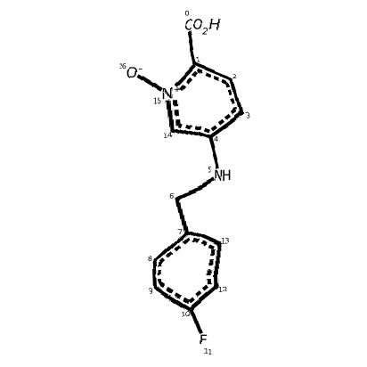 O=C(O)c1ccc(NCc2ccc(F)cc2)c[n+]1[O-]